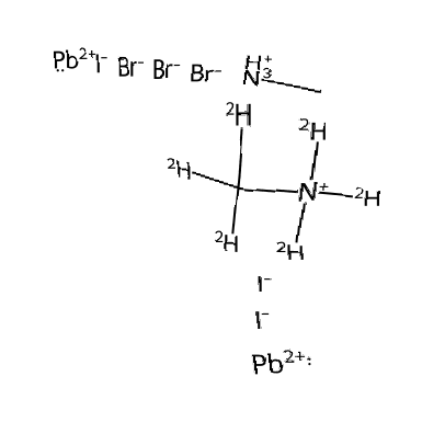 C[NH3+].[2H]C([2H])([2H])[N+]([2H])([2H])[2H].[Br-].[Br-].[Br-].[I-].[I-].[I-].[Pb+2].[Pb+2]